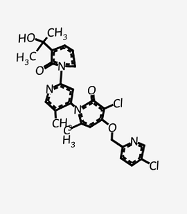 Cc1cnc(-n2cccc(C(C)(C)O)c2=O)cc1-n1c(C)cc(OCc2ccc(Cl)cn2)c(Cl)c1=O